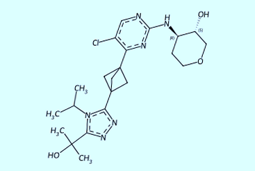 CC(C)n1c(C(C)(C)O)nnc1C12CC(c3nc(N[C@@H]4CCOC[C@H]4O)ncc3Cl)(C1)C2